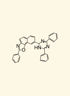 c1ccc(C2=NC(c3ccc4ccc5nc(-c6ccccc6)oc5c4c3)NC(c3ccccc3)=N2)cc1